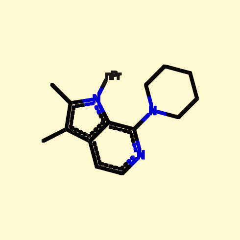 CCCn1c(C)c(C)c2ccnc(N3CCCCC3)c21